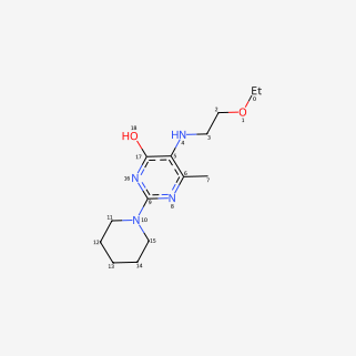 CCOCCNc1c(C)nc(N2CCCCC2)nc1O